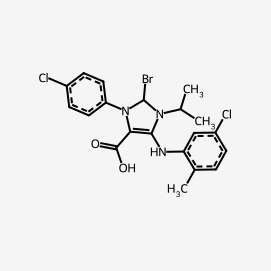 Cc1ccc(Cl)cc1NC1=C(C(=O)O)N(c2ccc(Cl)cc2)C(Br)N1C(C)C